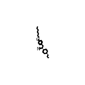 CCCCCCCOc1ccc(CC(C#N)[C@H]2CC[C@H](CCC)CC2)cc1